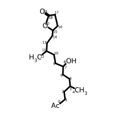 CC(=O)CCC(C)CCC(O)CCC(C)CCC1CCC(=O)O1